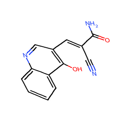 N#CC(=Cc1cnc2ccccc2c1O)C(N)=O